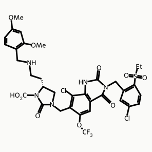 CCS(=O)(=O)c1ccc(Cl)cc1Cn1c(=O)[nH]c2c(Cl)c(CN3C[C@@H](CCNCc4ccc(OC)cc4OC)N(C(=O)O)C3=O)c(OC(F)(F)F)cc2c1=O